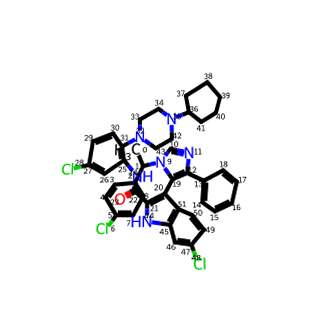 CC(c1ccc(Cl)cc1)n1cnc(-c2ccccc2)c1-c1c(C(=O)Nc2cc(Cl)ccc2N2CCN(C3CCCCC3)CC2)[nH]c2cc(Cl)ccc12